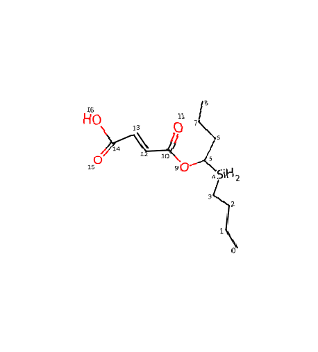 CCCC[SiH2]C(CCC)OC(=O)C=CC(=O)O